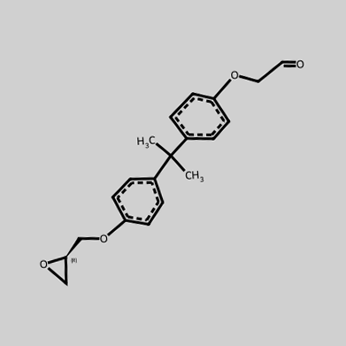 CC(C)(c1ccc(OCC=O)cc1)c1ccc(OC[C@H]2CO2)cc1